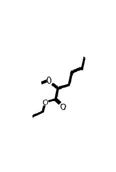 CCCCC(OC)C(=O)OCC